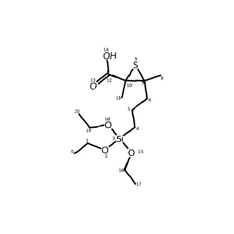 CCO[Si](CCCC1(C)SC1(C)C(=O)O)(OCC)OCC